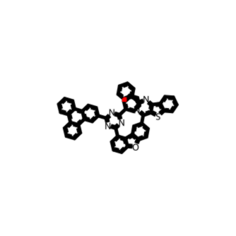 c1ccc(-c2nc(-c3ccc4c5ccccc5c5ccccc5c4c3)nc(-c3cccc4oc5ccc(-c6nc(-c7ccccc7)nc7c6sc6ccccc67)cc5c34)n2)cc1